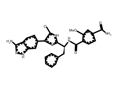 COc1cc(C(N)=O)ccc1C(=O)N[C@@H](Cc1ccccc1)c1nc(-c2ccc3c(N)n[nH]c3c2)c(Cl)[nH]1